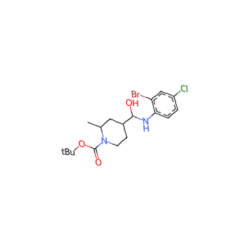 CC1CC(C(O)Nc2ccc(Cl)cc2Br)CCN1C(=O)OC(C)(C)C